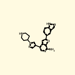 Nc1ncc(-c2cnn(C3CCNCC3)c2)c2cc(-c3ccc4[nH]ncc4c3)oc12